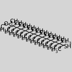 CO[Si](C)(C)S(C)(C)S(C)(C)S(C)(C)S(C)(C)S(C)(C)S(C)(C)S(C)(C)S(C)(C)S(C)(C)S(C)(C)S(C)(C)S(C)(C)S